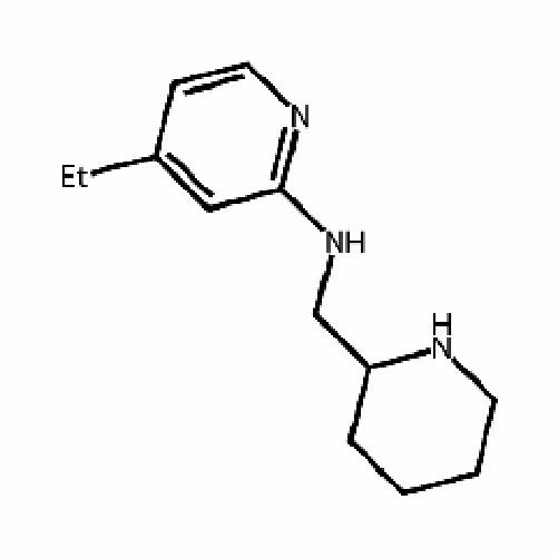 CCc1ccnc(NCC2CCCCN2)c1